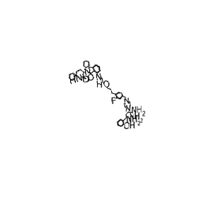 NC(N)=C(/C=C(\N)c1ccccc1O)N1CCN(Cc2ccc(CCCOCCNc3cccc4c3C(=O)N(C3CCC(=O)NC3=O)C4=O)c(F)c2)CC1